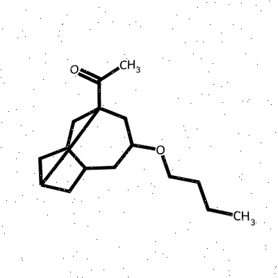 CCCCOC1CC2CC3CC2CC3(C(C)=O)C1